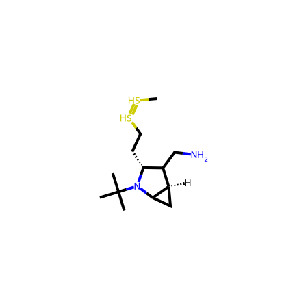 C/[SH]=[SH]\CC[C@@H]1C(CN)[C@H]2CC2N1C(C)(C)C